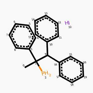 CC(P)(c1ccccc1)C(c1ccccc1)c1ccccc1.I